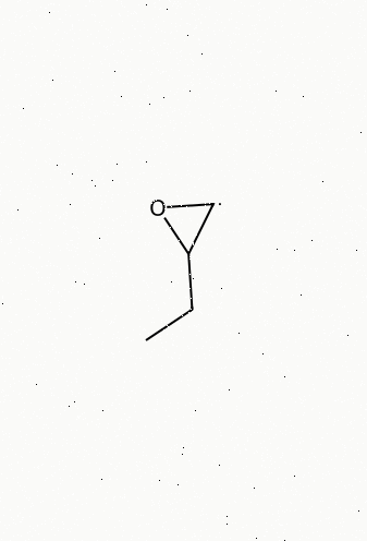 CCC1[CH]O1